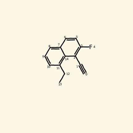 C#Cc1c(F)ccc2cccc(CC)c12